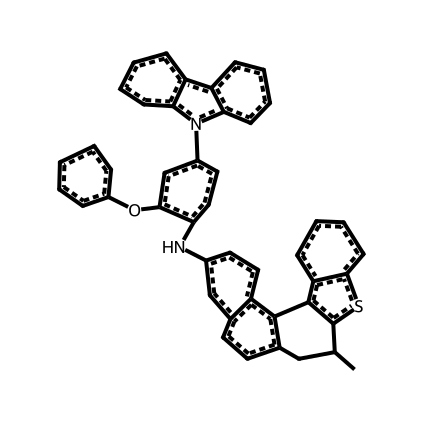 CC1Cc2ccc3cc(Nc4ccc(-n5c6ccccc6c6ccccc65)cc4Oc4ccccc4)ccc3c2-c2c1sc1ccccc21